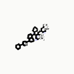 C=CCC(/C=C\CCC)C/C(C)=C(/C=C\C)C(=C1\C=CCCC1=C)\c1cccc2c(-c3ccc(C4=CCCC=C4)cn3)cccc12